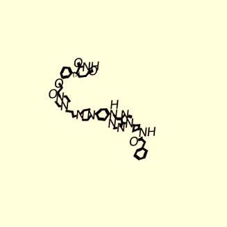 O=C1CC[C@@H](c2cccc(OCC(=O)N3CCN(CCCN4CCN(c5ccc(Nc6ncnc7c6ncn7C6CC(NC(=O)Cc7ccccc7)C6)cc5)CC4)CC3)c2)C(=O)N1